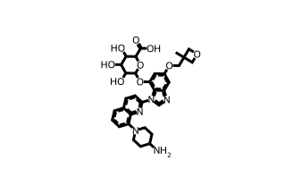 CC1(COc2cc(OC3OC(C(=O)O)C(O)C(O)C3O)c3c(c2)ncn3-c2ccc3cccc(N4CCC(N)CC4)c3n2)COC1